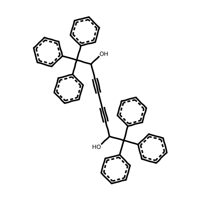 OC(C#CC#CC(O)C(c1ccccc1)(c1ccccc1)c1ccccc1)C(c1ccccc1)(c1ccccc1)c1ccccc1